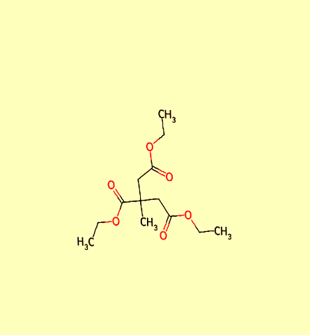 CCOC(=O)CC(C)(CC(=O)OCC)C(=O)OCC